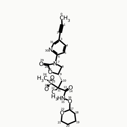 CC#Cc1ccc(N2C[C@H](C[C@](C)(C(=O)NOC3CCCCO3)S(C)(=O)=O)OC2=O)nc1